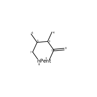 C=C(C)C(C)C(C)CCCCCC